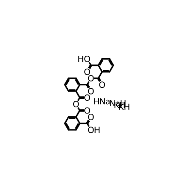 O=C(O)c1ccccc1C(=O)OC(=O)c1ccccc1C(=O)OC(=O)c1ccccc1C(=O)O.[KH].[KH].[NaH].[NaH]